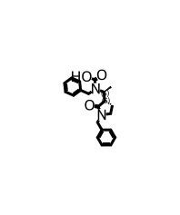 C[C@@H]([C@@H]1CCN(Cc2ccccc2)C1=O)N(Cc1ccccc1)C(=O)O